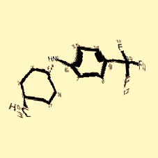 C[C@H]1CC[C@H](Nc2ccc(C(F)(F)F)cc2)CC1